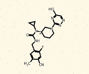 Cc1cc(CNC(=O)N(C2CC2)[C@@H]2CCCN(c3nncc(O)n3)C2)c(F)cc1C#N